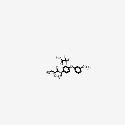 N[C@@H](CS)C(=O)Nc1ccc(Oc2cccc(C(=O)O)c2)cc1.O=C(O)C(F)(F)F